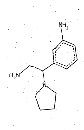 NCC(c1cccc(N)c1)N1CCCC1